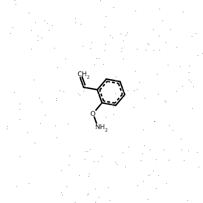 C=Cc1ccccc1ON